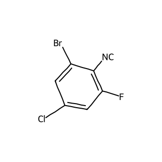 [C-]#[N+]c1c(F)cc(Cl)cc1Br